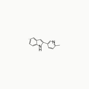 Cc1ccc(-c2cc3c[c]ccc3[nH]2)cn1